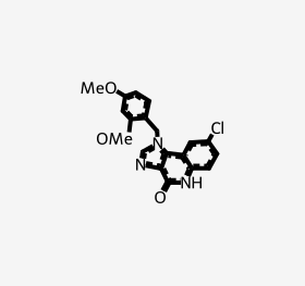 COc1ccc(Cn2cnc3c(=O)[nH]c4ccc(Cl)cc4c32)c(OC)c1